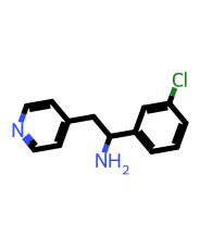 NC(Cc1ccncc1)c1cccc(Cl)c1